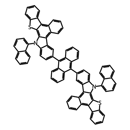 c1ccc2c(-n3c4ccc(-c5c6ccccc6c(-c6ccc7c(c6)c6c8ccccc8c8c9ccccc9sc8c6n7-c6cccc7ccccc67)c6ccccc56)cc4c4c5ccccc5c5c6ccccc6sc5c43)cccc2c1